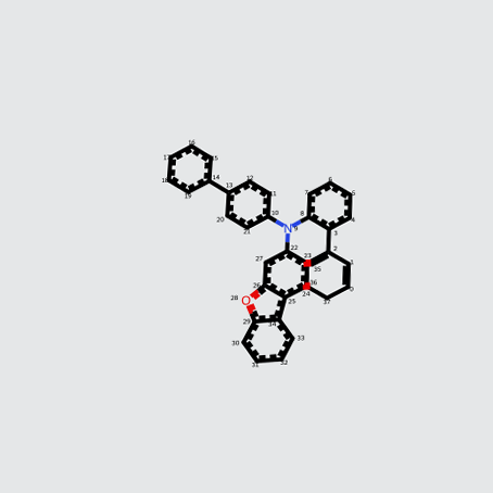 C1=CC(c2ccccc2N(c2ccc(-c3ccccc3)cc2)c2ccc3c(c2)oc2ccccc23)=CCC1